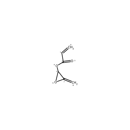 C=CC(=O)OC1OC1=C